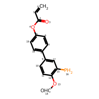 C=CC(=O)Oc1ccc(-c2ccc(OC=O)c(P)c2)cc1